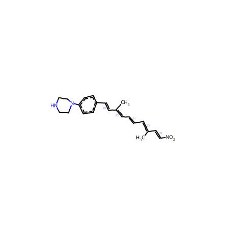 CC(/C=C/c1ccc(N2CCNCC2)cc1)=C\C=C\C=C(C)\C=C\[N+](=O)[O-]